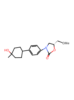 COC[C@H]1CN(c2ccc(C3CCC(C)(O)CC3)cc2)C(=O)O1